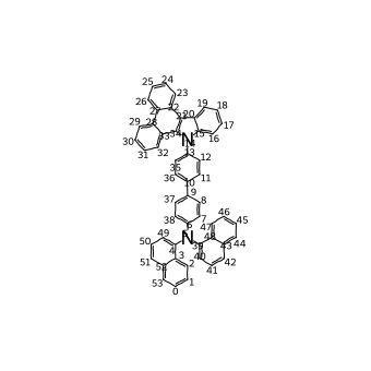 c1ccc2c(N(c3ccc(-c4ccc(-n5c6ccccc6c6c7ccccc7c7ccccc7c65)cc4)cc3)c3cccc4ccccc34)cccc2c1